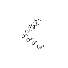 [Ga+3].[In+3].[Mg+2].[O-2].[O-2].[O-2].[O-2]